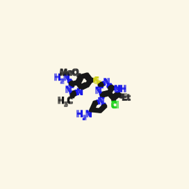 CCc1[nH]c2nc(Sc3cc(OC)c4c(N)nc(C)nc4c3)nc(N3CC[C@@H](N)C3)c2c1Cl